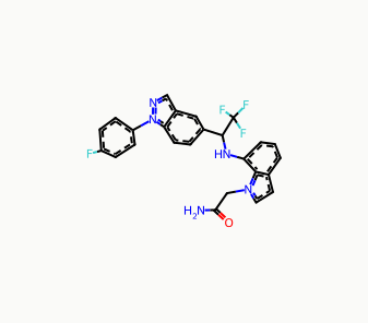 NC(=O)Cn1ccc2cccc(NC(c3ccc4c(cnn4-c4ccc(F)cc4)c3)C(F)(F)F)c21